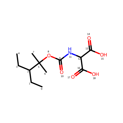 CCC(CC)C(C)(C)OC(=O)NC(C(=O)O)C(=O)O